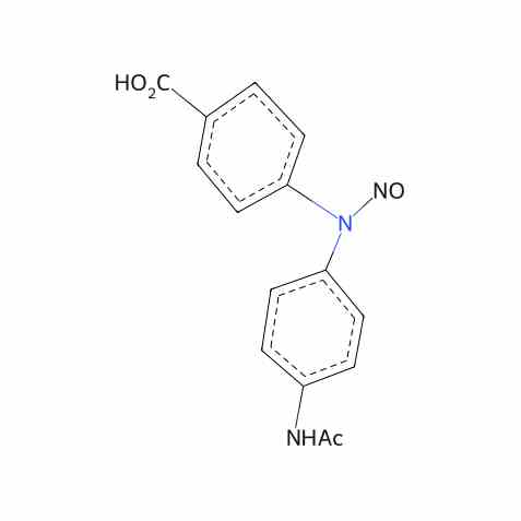 CC(=O)Nc1ccc(N(N=O)c2ccc(C(=O)O)cc2)cc1